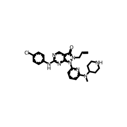 C=CCn1c(=O)c2cnc(Nc3ccc(Cl)cc3)nc2n1-c1cccc(N(C)C2CCNCC2)n1